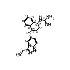 CC(C)(C)Cc1nnc2ccc(O[C@@H]3CC[C@H](NC(N)O)c4ccccc43)cn12